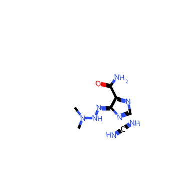 CN(C)N/N=C1\N=CN=C1C(N)=O.N=C=N